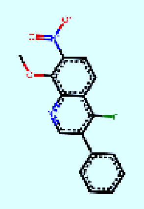 COc1c([N+](=O)[O-])ccc2c(Cl)c(-c3ccccc3)cnc12